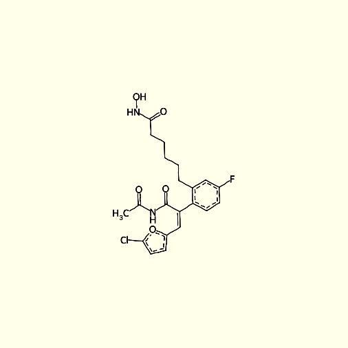 CC(=O)NC(=O)C(=Cc1ccc(Cl)o1)c1ccc(F)cc1CCCCCC(=O)NO